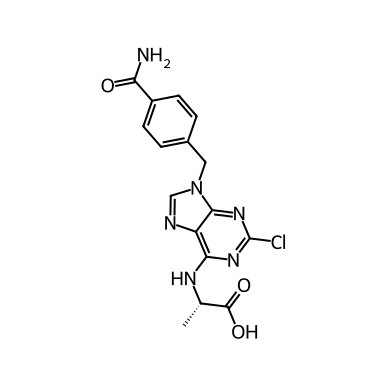 C[C@H](Nc1nc(Cl)nc2c1ncn2Cc1ccc(C(N)=O)cc1)C(=O)O